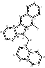 Cc1c2ccccc2cc2c3ccccc3n(Cc3cccc4ccccc34)c12